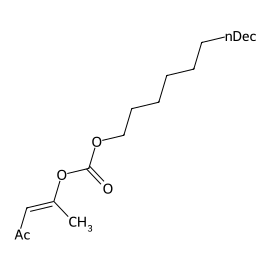 CCCCCCCCCCCCCCCCOC(=O)O/C(C)=C/C(C)=O